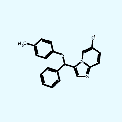 Cc1ccc(SC(c2ccccc2)c2cnc3ccc(Cl)cn23)cc1